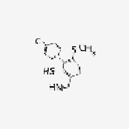 CSc1ccc(C=N)c(S)c1-c1ccc(Cl)cc1